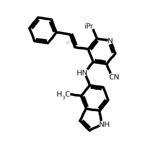 Cc1c(Nc2c(C#N)cnc(C(C)C)c2/C=C/c2ccccc2)ccc2[nH]ccc12